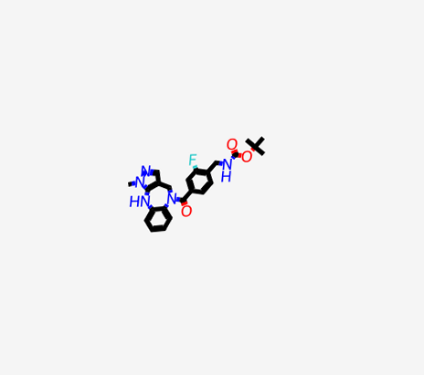 Cn1ncc2c1Nc1ccccc1N(C(=O)c1ccc(CNC(=O)OC(C)(C)C)c(F)c1)C2